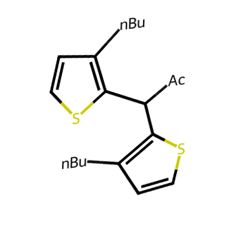 CCCCc1ccsc1C(C(C)=O)c1sccc1CCCC